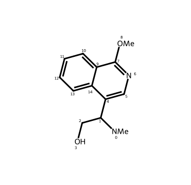 CNC(CO)c1cnc(OC)c2ccccc12